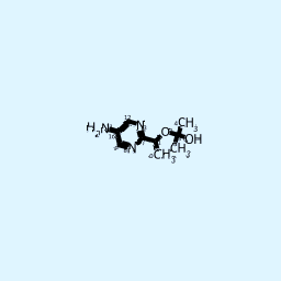 CC(OC(C)(C)O)c1ncc(N)cn1